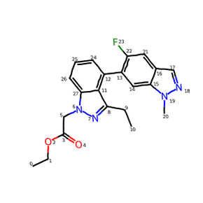 CCOC(=O)Cn1nc(CC)c2c(-c3cc4c(cnn4C)cc3F)cccc21